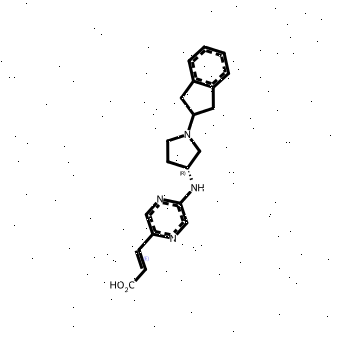 O=C(O)/C=C/c1cnc(N[C@@H]2CCN(C3Cc4ccccc4C3)C2)cn1